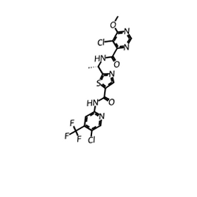 COc1ncnc(C(=O)N[C@@H](C)c2ncc(C(=O)Nc3cc(C(F)(F)F)c(Cl)cn3)s2)c1Cl